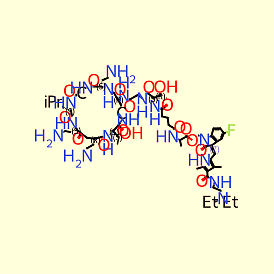 CCN(CC)CCNC(=O)c1c(C)[nH]c(/C=C2\C(=O)N(COC(=O)C(C)NC(=O)CCCC(=O)N[C@H](C(=O)NCC(=O)N[C@@H]3CCNC(=O)[C@H]([C@H](C)O)NC(=O)[C@H](CCN)CC(=O)[C@H](CCN)NC(=O)[C@H](CC(C)C)NC(=O)CNC(=O)[C@H](CCN)NC3=O)[C@@H](C)O)c3ccc(F)cc32)c1C